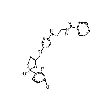 C[C@]1(c2ccc(Cl)cc2Cl)OCC(COc2ccc(NCCNC(=O)c3ccccn3)cc2)O1